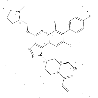 C=CC(=O)N1CC[C@H](n2nnc3c(OC[C@@H]4CCCN4C)nc4c(F)c(-c5ccc(F)cc5)c(Cl)cc4c32)C[C@H]1CC#N